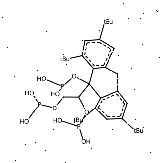 CC(C)(C)c1cc2c(c(C(C)(C)C)c1)C(OP(O)O)(C(COP(O)O)OP(O)O)c1c(cc(C(C)(C)C)cc1C(C)(C)C)C2